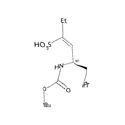 CCC(=C[C@@H](CC(C)C)NC(=O)OC(C)(C)C)S(=O)(=O)O